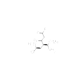 CO/C(N)=C(/C=C(\N)Cl)C(Br)CC(F)F